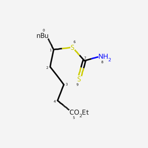 CCCCC(CCCC(=O)OCC)SC(N)=S